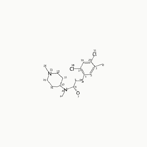 Cc1cc(SCC(=O)N(C)C2CCN(C)CC2)c(Cl)cc1Cl